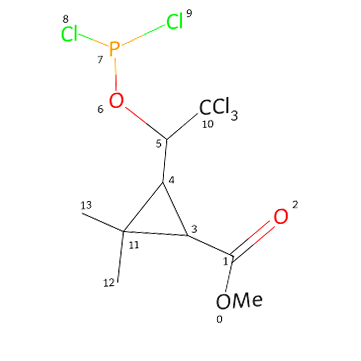 COC(=O)C1C(C(OP(Cl)Cl)C(Cl)(Cl)Cl)C1(C)C